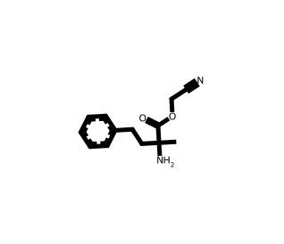 CC(N)(CCc1ccccc1)C(=O)OCC#N